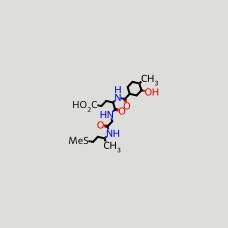 CSCCC(C)NC(=O)CNC(=O)C(CCC(=O)O)NC(=O)C1CCC(C)C(O)C1